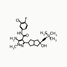 Cn1nc(C2CC3CC(O)(C#C[Si](C)(C)C)CC3C2)c(C(=O)Nc2ccc(F)c(Cl)c2)c1N